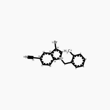 Cc1ccccc1Cn1cc(Br)c2cc(C#N)ccc21